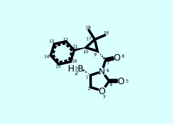 B[C@H]1COC(=O)N1C(=O)[C@@H]1[C@@H](c2ccccc2)C1(C)C